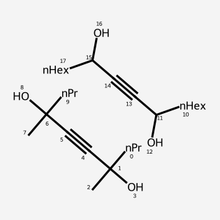 CCCC(C)(O)C#CC(C)(O)CCC.CCCCCCC(O)C#CC(O)CCCCCC